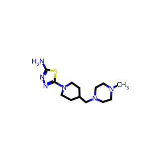 CN1CCN(CC2CCN(c3nnc(N)s3)CC2)CC1